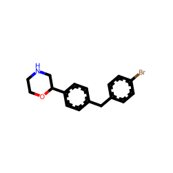 Brc1ccc(Cc2ccc(C3CNCCO3)cc2)cc1